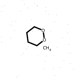 C.C1CCOOC1